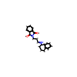 O=C1c2ccccc2C(=O)N1CCCNC1CCCc2ccccc21